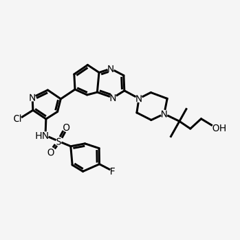 CC(C)(CCO)N1CCN(c2cnc3ccc(-c4cnc(Cl)c(NS(=O)(=O)c5ccc(F)cc5)c4)cc3n2)CC1